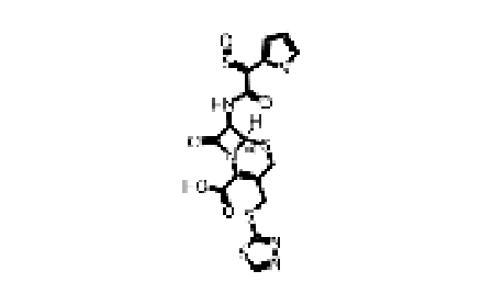 O=S=C(C(=O)NC1C(=O)N2C(C(=O)O)=C(CSc3nncs3)CS[C@H]12)c1cccs1